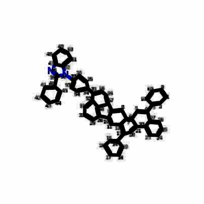 c1ccc(-c2cc3c4cc5c(cc4c(-c4ccccc4)cc3c3ccccc23)-c2cccc3c(-c4ccc(-n6c(-c7ccccc7)nc7ccccc76)cc4)ccc-5c23)cc1